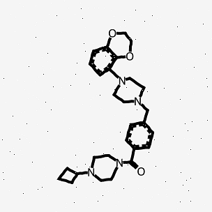 O=C(c1ccc(CN2CCN(c3cccc4c3OCCO4)CC2)cc1)N1CCN(C2CCC2)CC1